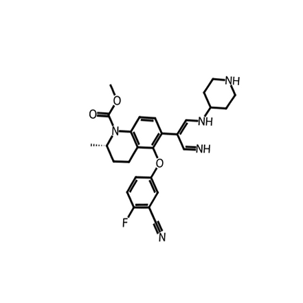 COC(=O)N1c2ccc(/C(C=N)=C/NC3CCNCC3)c(Oc3ccc(F)c(C#N)c3)c2CC[C@@H]1C